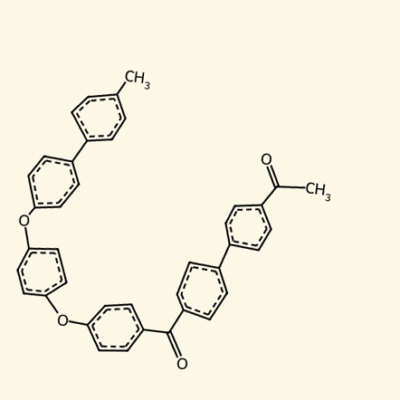 CC(=O)c1ccc(-c2ccc(C(=O)c3ccc(Oc4ccc(Oc5ccc(-c6ccc(C)cc6)cc5)cc4)cc3)cc2)cc1